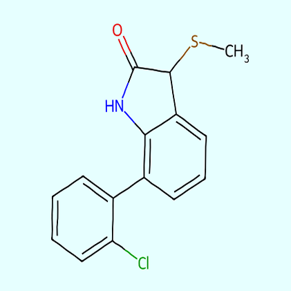 CSC1C(=O)Nc2c(-c3ccccc3Cl)cccc21